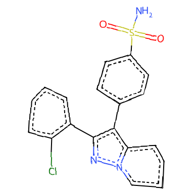 NS(=O)(=O)c1ccc(-c2c(-c3ccccc3Cl)nn3ccccc23)cc1